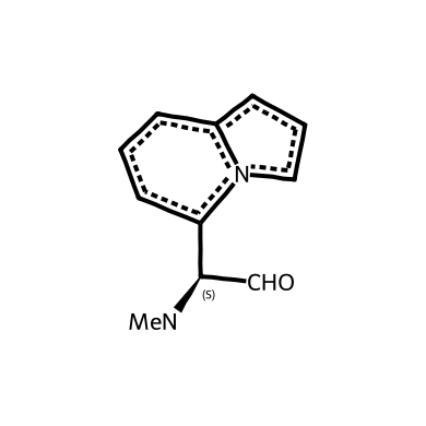 CN[C@H](C=O)c1cccc2cccn12